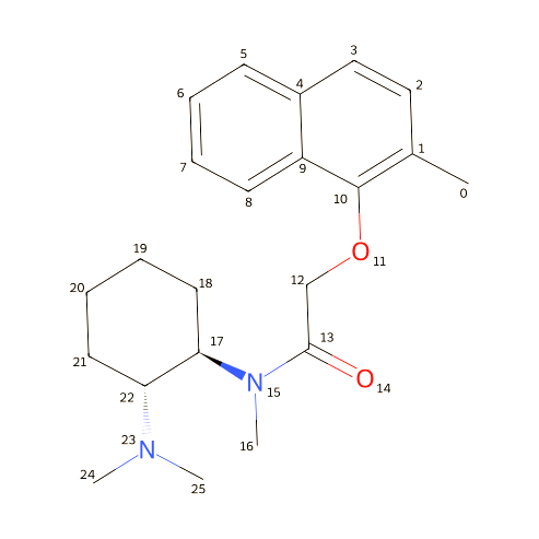 Cc1ccc2ccccc2c1OCC(=O)N(C)[C@@H]1CCCC[C@H]1N(C)C